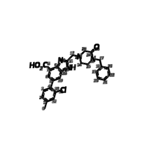 Cc1ccc(-c2cc(C(=O)O)c3nc(CN4CCN(Cc5ccccc5)C(=O)C4)[nH]c3c2)c(Cl)c1